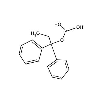 CCC(OP(O)O)(c1ccccc1)c1ccccc1